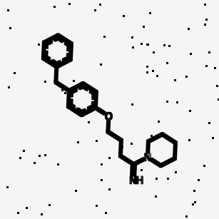 N=C(CCCOc1ccc(Cc2ccccc2)cc1)N1CCCCC1